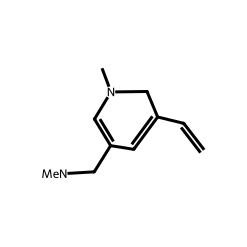 C=CC1=CC(CNC)=CN(C)C1